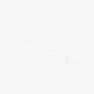 O=C(NO)C1CCN1C(=O)c1cccc(OC(F)(F)F)c1